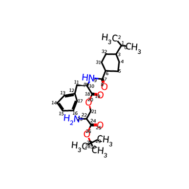 CC(C)C1CCC(C(=O)N[C@H](Cc2ccccc2)C(=O)OCC(N)C(=O)OC(C)(C)C)CC1